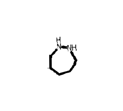 [CH]1CCCNNC1